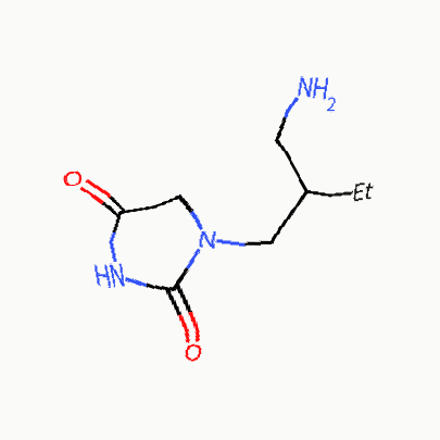 CCC(CN)CN1CC(=O)NC1=O